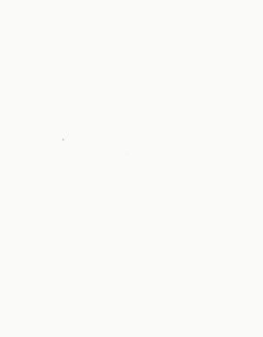 CC(C)(C)C1CCC(C(C)(C)C)O1